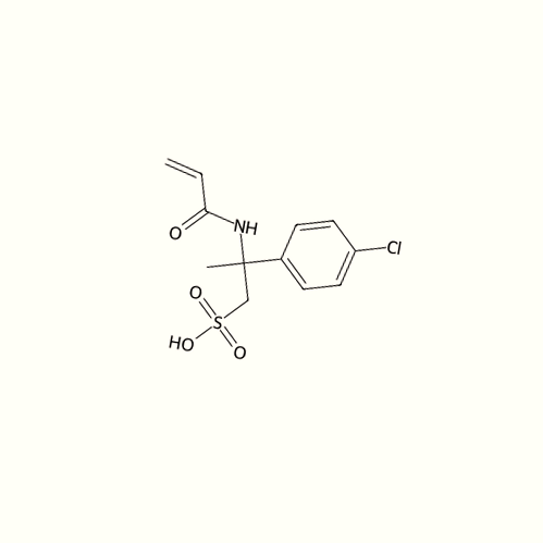 C=CC(=O)NC(C)(CS(=O)(=O)O)c1ccc(Cl)cc1